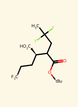 CC(F)(F)CC(C(=O)OC(C)(C)C)[C@@H](CCC(F)(F)F)C(=O)O